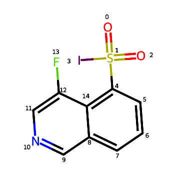 O=S(=O)(I)c1cccc2cncc(F)c12